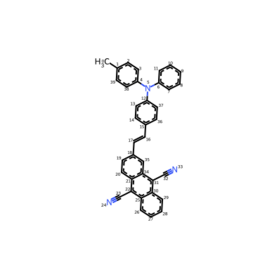 Cc1ccc(N(c2ccccc2)c2ccc(C=Cc3ccc4c(C#N)c5ccccc5c(C#N)c4c3)cc2)cc1